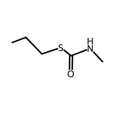 CCCSC(=O)NC